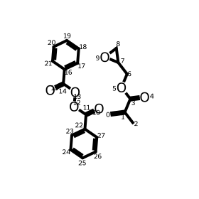 C=C(C)C(=O)OCC1CO1.O=C(OOC(=O)c1ccccc1)c1ccccc1